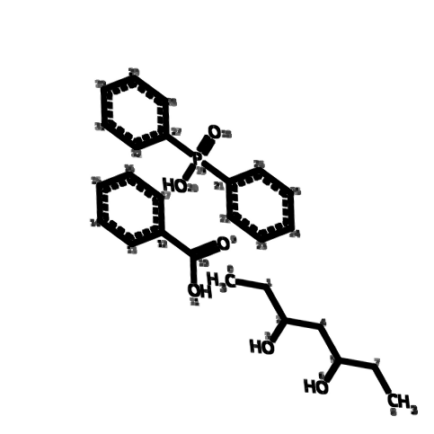 CCC(O)CC(O)CC.O=C(O)c1ccccc1.O=P(O)(c1ccccc1)c1ccccc1